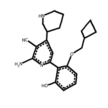 N#Cc1c(C2CCCNC2)cc(-c2c(O)cccc2OCC2CCC2)nc1N